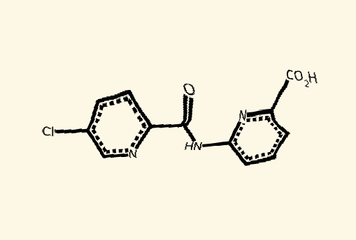 O=C(O)c1cccc(NC(=O)c2ccc(Cl)cn2)n1